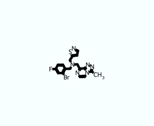 Cc1nnc2c(CN(Cc3ccns3)Cc3ccc(F)cc3Br)nccn12